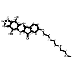 COCCOCCOCCOc1ccc2c(c1)C(=O)c1nc3c(Br)c4nsnc4c(Br)c3nc1-2